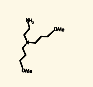 COCCCN(CCN)CCCOC